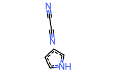 N#CC#N.c1cc[nH]c1